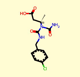 C[C@@H](CC(=O)O)N(C(N)=O)C(=O)NCc1ccc(Cl)cc1